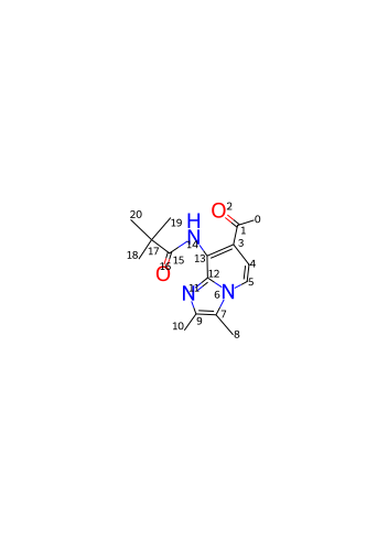 CC(=O)c1ccn2c(C)c(C)nc2c1NC(=O)C(C)(C)C